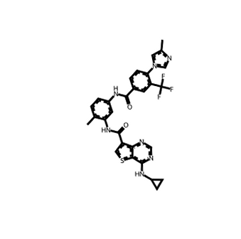 Cc1cn(-c2ccc(C(=O)Nc3ccc(C)c(NC(=O)c4csc5c(NC6CC6)ncnc45)c3)cc2C(F)(F)F)cn1